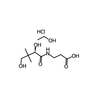 CC(C)(CO)[C@@H](O)C(=O)NCCC(=O)O.CCO.Cl